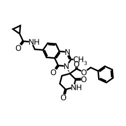 Cc1nc2ccc(CNC(=O)C3CC3)cc2c(=O)n1[C@@]1(C(=O)OCc2ccccc2)CCC(=O)NC1=O